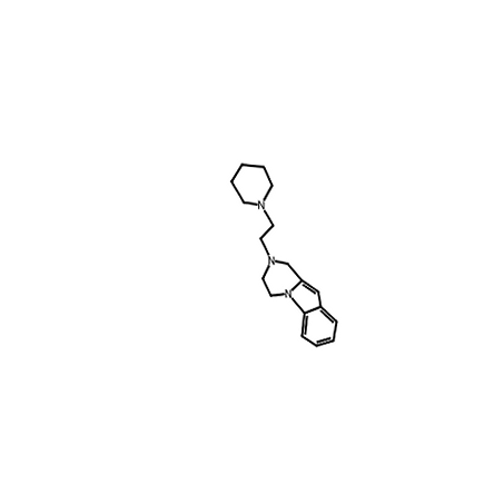 c1ccc2c(c1)cc1n2CCN(CCN2CCCCC2)C1